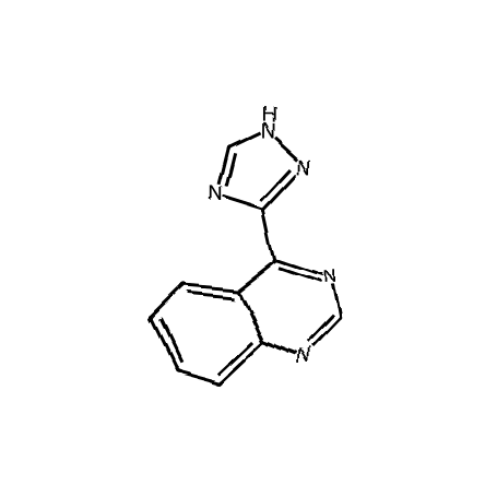 c1ccc2c(-c3nc[nH]n3)ncnc2c1